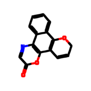 O=c1cnc2c(o1)c1c(c3ccccc32)OCC=C1